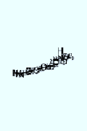 CC(C)(C)OC(=O)Nc1ccc(OCCOCCOCCOCCN=[N+]=[N-])cc1